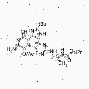 COc1nc(-c2nc(C(C)(C)C)[nH]c2-c2ccnc(NC[C@H](C)NC(=O)OC(C)C)n2)c(C)nc1N